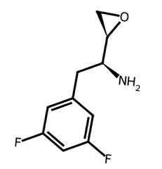 N[C@@H](Cc1cc(F)cc(F)c1)[C@H]1CO1